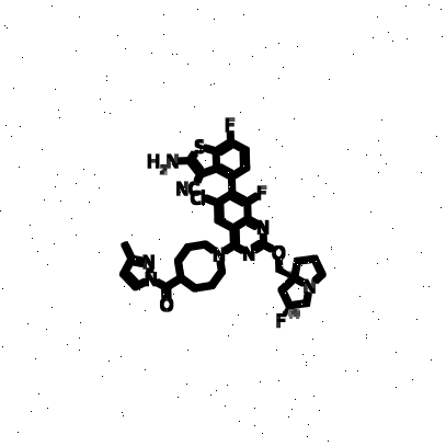 Cc1ccn(C(=O)C2CCCN(c3nc(OC[C@@]45CCCN4C[C@H](F)C5)nc4c(F)c(-c5ccc(F)c6sc(N)c(C#N)c56)c(Cl)cc34)CCC2)n1